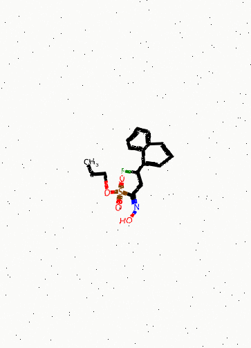 CCCOS(=O)(=O)C(CC(F)c1cccc2ccccc12)=NO